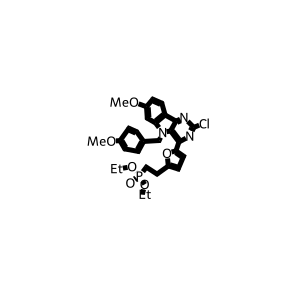 CCOP(=O)(CCc1ccc(-c2nc(Cl)nc3c4ccc(OC)cc4n(Cc4ccc(OC)cc4)c23)o1)OCC